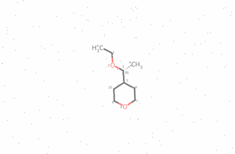 CCO[C@H](C)C1CCOCC1